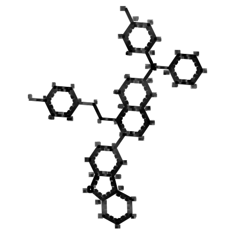 Cc1ccc(CCc2c(-c3ccc4oc5ccccc5c4c3)ccc3cc(N(c4ccccc4)c4ccc(C)cc4)ccc23)cc1